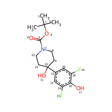 CC(C)(C)OC(=O)N1CCC(O)(c2cc(F)c(O)c(F)c2)CC1